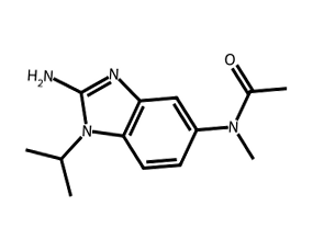 CC(=O)N(C)c1ccc2c(c1)nc(N)n2C(C)C